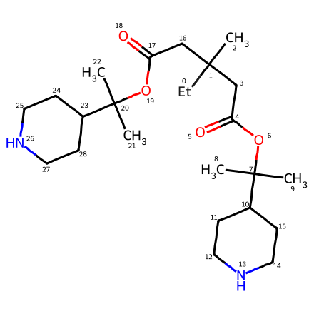 CCC(C)(CC(=O)OC(C)(C)C1CCNCC1)CC(=O)OC(C)(C)C1CCNCC1